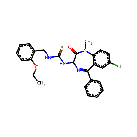 CCOc1ccccc1CNC(=S)NC1N=C(c2ccccc2)c2cc(Cl)ccc2N(C)C1=O